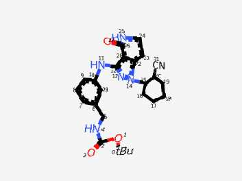 CC(C)(C)OC(=O)NCc1cccc(Nc2nn(C3CCCCC3C#N)c3cc[nH]c(=O)c23)c1